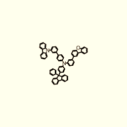 c1ccc(C2(c3ccc(N(c4ccc(-c5cccc(-n6c7ccccc7c7ccccc76)c5)cc4)c4cccc(-c5ccc6oc7ccccc7c6c5)c4)cc3)c3ccccc3-c3ccccc32)cc1